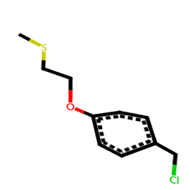 CSCCOc1ccc(CCl)cc1